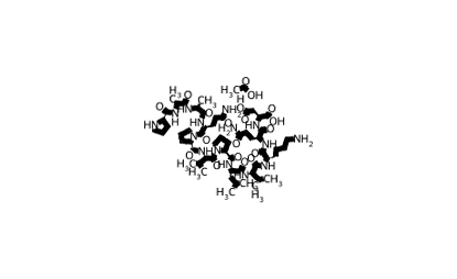 CC(=O)O.CC(C)C[C@H](NC(=O)[C@@H]1CCCN1C(=O)[C@@H](NC(=O)[C@@H]1CCCN1C(=O)[C@H](CCC(N)=O)NC(=O)[C@H](C)NC(=O)[C@H](C)NC(=O)[C@@H]1CCCN1)C(C)C)C(=O)N[C@H](C(=O)N[C@@H](CCCCN)C(=O)N[C@@H](CCC(N)=O)C(=O)N[C@@H](CC(=O)O)C(=O)O)C(C)C